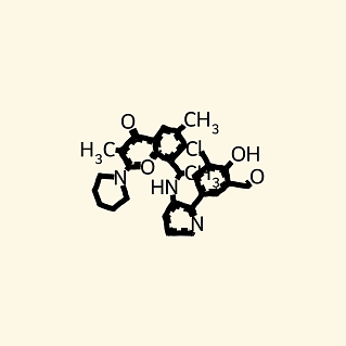 Cc1cc(C(C)Nc2cccnc2-c2cc(Cl)c(O)c(C=O)c2)c2oc(N3CCCCC3)c(C)c(=O)c2c1